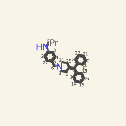 CC(C)Nc1ccc(CN2CCC(=C3c4ccccc4Sc4ccccc43)CC2)cc1